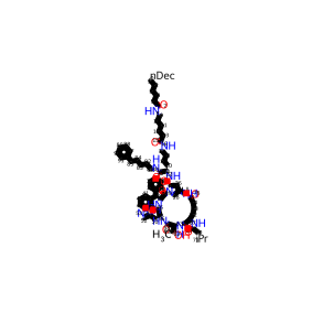 CCCCCCCCCCCCCCCC(=O)NCCCCCC(=O)NCCCC[C@H](NC(=O)[C@@H]1C[C@H]2CN1C(=O)[C@H](C(c1ccccc1)c1ccccc1)NC(=O)[C@H](Cc1cnc[nH]1)NC(=O)[C@H]([C@@H](C)O)NC(=O)[C@@H](NC(=O)CC(C)C)CCCC(=O)N2)C(=O)NCCCCCc1ccccc1